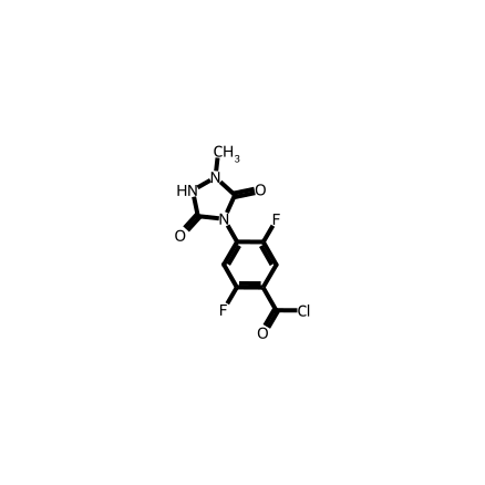 Cn1[nH]c(=O)n(-c2cc(F)c(C(=O)Cl)cc2F)c1=O